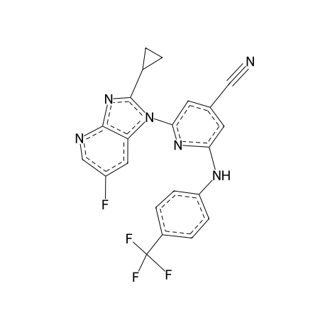 N#Cc1cc(Nc2ccc(C(F)(F)F)cc2)nc(-n2c(C3CC3)nc3ncc(F)cc32)c1